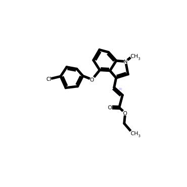 CCOC(=O)/C=C/c1cn(C)c2cccc(Oc3ccc(Cl)cc3)c12